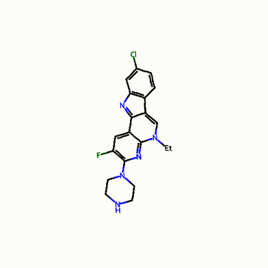 CCn1cc2c3ccc(Cl)cc3nc-2c2cc(F)c(N3CCNCC3)nc21